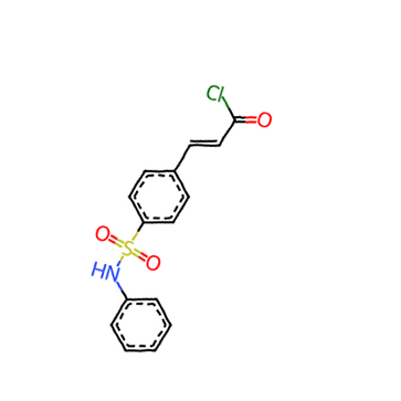 O=C(Cl)C=Cc1ccc(S(=O)(=O)Nc2ccccc2)cc1